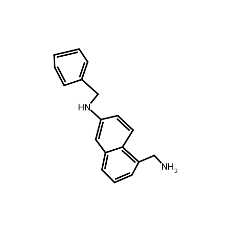 NCc1cccc2cc(NCc3ccccc3)ccc12